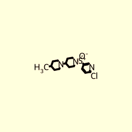 CC1CCN(C2CCN([S@+]([O-])c3ccc(Cl)nc3)CC2)CC1